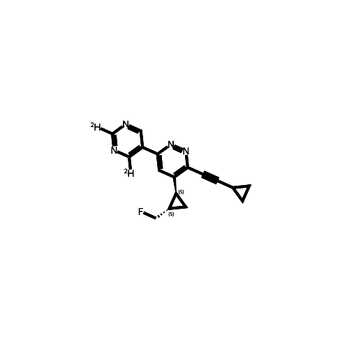 [2H]c1ncc(-c2cc([C@H]3C[C@@H]3CF)c(C#CC3CC3)nn2)c([2H])n1